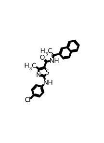 Cc1nc(Nc2ccc(Cl)cc2)sc1C(=O)N[C@H](C)c1ccc2ccccc2c1